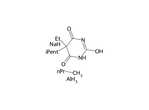 CCCC.CCCC(C)C1(CC)C(=O)N=C(O)NC1=O.[AlH3].[NaH]